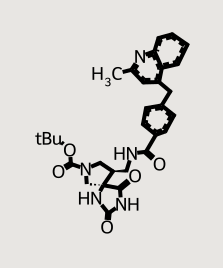 Cc1cc(Cc2ccc(C(=O)NC[C@@H]3CN(C(=O)OC(C)(C)C)C[C@]34NC(=O)NC4=O)cc2)c2ccccc2n1